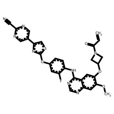 C=CC(=O)N1CC(Oc2cc3c(Nc4ccc(Oc5nc(-c6cnc(C#N)nc6)cs5)cc4F)ncnc3cc2OC)C1